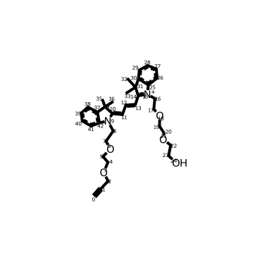 C#CCOCCOCCN1/C(=C/C=C/C2=[N+](CCOCCOCCO)c3ccccc3C2(C)C)C(C)(C)c2ccccc21